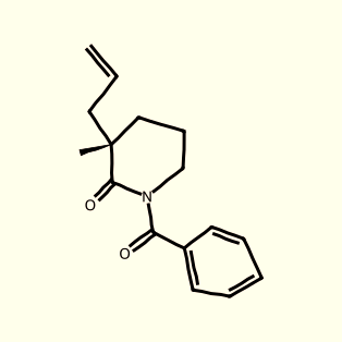 C=CC[C@]1(C)CCCN(C(=O)c2ccccc2)C1=O